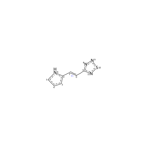 C(=C\c1ccc[nH]1)/c1nnsn1